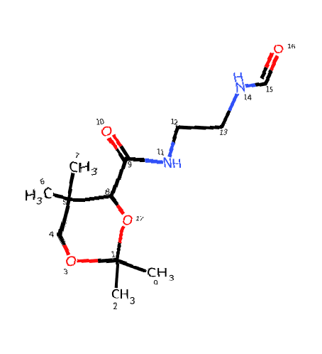 CC1(C)OCC(C)(C)C(C(=O)NCCNC=O)O1